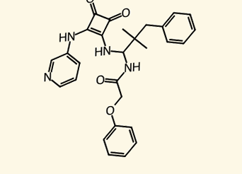 CC(C)(Cc1ccccc1)C(NC(=O)COc1ccccc1)Nc1c(Nc2cccnc2)c(=O)c1=O